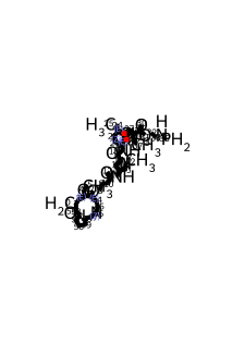 C=C1/C=C(OC)\C(OCCCC(=O)Nc2cc(C(=O)NC(/C=C\C(=C/C)c3cc(C(=O)OCCNP)n(C)c3)=C/C)n(C)c2)=C/C/N=C\C2CCCN2C1=O